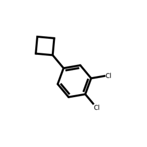 Clc1ccc(C2CCC2)cc1Cl